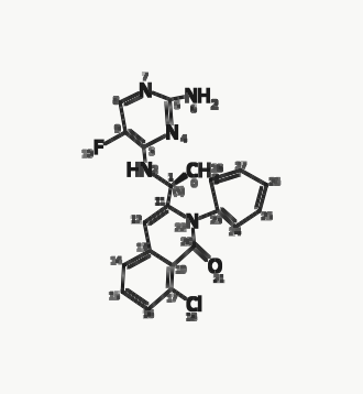 C[C@H](Nc1nc(N)ncc1F)c1cc2cccc(Cl)c2c(=O)n1-c1ccccc1